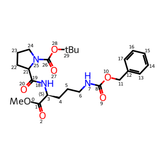 COC(=O)[C@H](CCCNC(=O)OCc1ccccc1)NC(=O)C1CCCN1C(=O)OC(C)(C)C